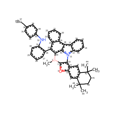 CB1c2oc3cc4c(cc3c2-n2c3ccccc3c3c5ccccc5c(-c5ccccc5Nc5ccc(C(C)(C)C)cc5)c1c32)C(C)(C)CCC4(C)C